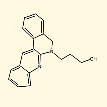 OCCCN1Cc2ccccc2-c2cc3ccccc3nc21